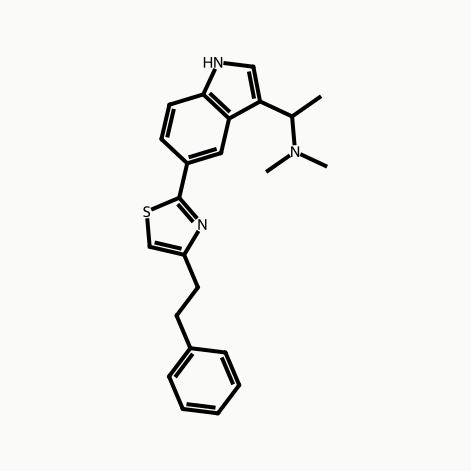 CC(c1c[nH]c2ccc(-c3nc(CCc4ccccc4)cs3)cc12)N(C)C